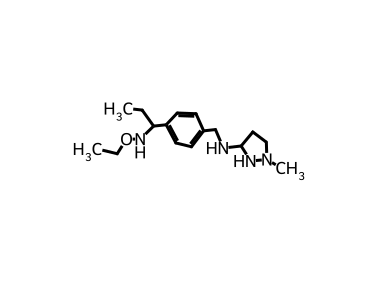 CCONC(CC)c1ccc(CNC2CCN(C)N2)cc1